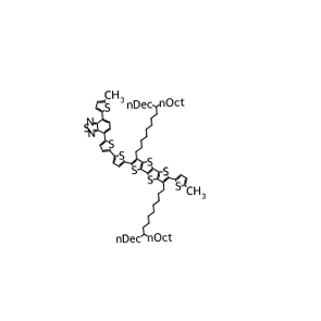 CCCCCCCCCCC(CCCCCCCC)CCCCCCCCc1c(-c2ccc(C)s2)sc2c1sc1c3sc(-c4ccc(-c5ccc(-c6ccc(-c7ccc(C)s7)c7nsnc67)s5)s4)c(CCCCCCCCC(CCCCCCCC)CCCCCCCCCC)c3sc21